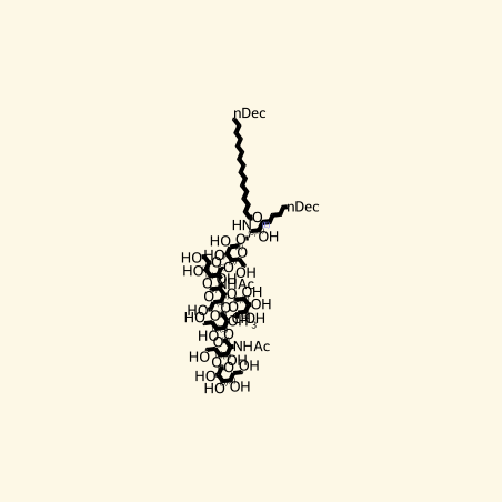 CCCCCCCCCCCCC/C=C/[C@@H](O)[C@H](CO[C@@H]1OC(CO)[C@@H](O[C@@H]2OC(CO)[C@H](O)[C@H](O[C@@H]3OC(CO)[C@@H](O[C@@H]4OC(CO)[C@H](O)[C@H](O[C@@H]5OC(CO)[C@@H](O[C@@H]6OC(CO)[C@H](O)[C@H](O)C6O)[C@H](O)C5NC(C)=O)C4O)[C@H](O[C@H]4OC(C)[C@@H](O)C(O)[C@@H]4O)C3NC(C)=O)C2O)[C@H](O)C1O)NC(=O)CCCCCCCCCCCCCCCCCCCCCCCCC